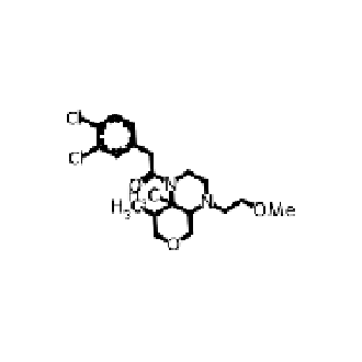 COCCN1CCN(C(=O)Cc2ccc(Cl)c(Cl)c2)C2(C)C(C)COCC12